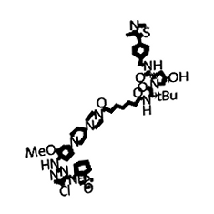 COc1cc(N2CCC(N3CCN(C(=O)CCCCCC(=O)N[C@H](C(=O)N4C[C@H](O)C[C@H]4C(=O)NCc4ccc(-c5scnc5C)cc4)C(C)(C)C)CC3)CC2)ccc1Nc1ncc(Cl)c(Nc2ccccc2P(C)(C)=O)n1